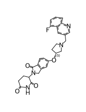 O=C1CCC(N2Cc3cc(O[C@H]4CCN(Cc5cnc6cccc(F)c6c5)C4)ccc3C2=O)C(=O)N1